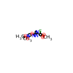 CC(C)OC(=O)N1CCC(Oc2ncnc3c(-c4ccc(S(C)(=O)=O)cc4F)nccc23)CC1